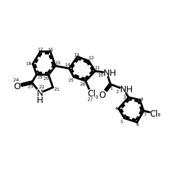 O=C(Nc1cccc(Cl)c1)Nc1ccc(-c2cccc3c2CNC3=O)cc1Cl